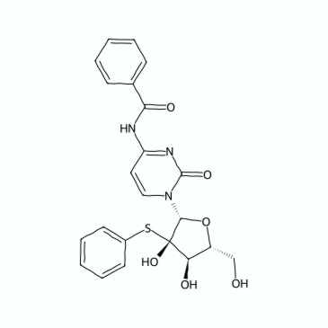 O=C(Nc1ccn([C@@H]2O[C@H](CO)[C@@H](O)[C@]2(O)Sc2ccccc2)c(=O)n1)c1ccccc1